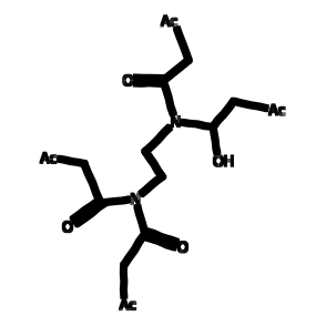 CC(=O)CC(=O)N(CCN(C(=O)CC(C)=O)C(O)CC(C)=O)C(=O)CC(C)=O